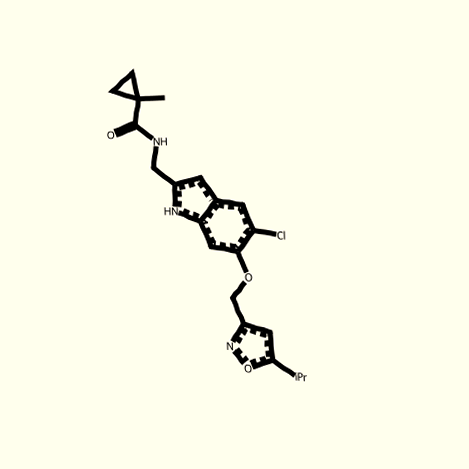 CC(C)c1cc(COc2cc3[nH]c(CNC(=O)C4(C)CC4)cc3cc2Cl)no1